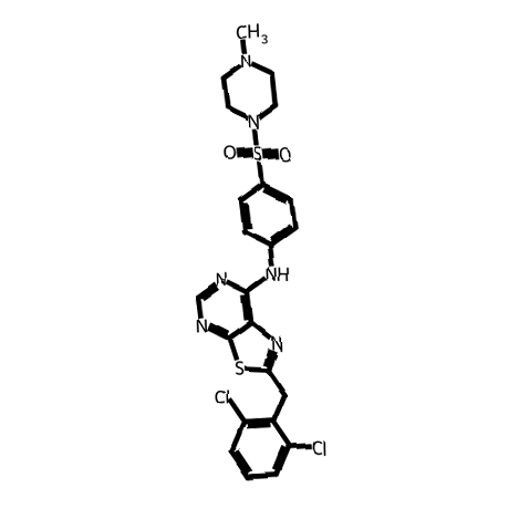 CN1CCN(S(=O)(=O)c2ccc(Nc3ncnc4sc(Cc5c(Cl)cccc5Cl)nc34)cc2)CC1